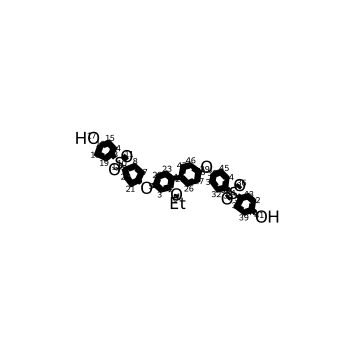 CCOc1cc(Oc2ccc(S(=O)(=O)c3ccc(O)cc3)cc2)ccc1-c1ccc(Oc2ccc(S(=O)(=O)c3ccc(O)cc3)cc2)cc1